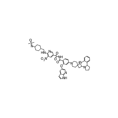 CC(C)c1ccccc1C1CCCN1C1CC2(CCN(c3ccc(C(=O)NS(=O)(=O)c4cnc(NCC5CCC(N=S(C)(C)=O)CC5)c([N+](=O)[O-])c4)c(Oc4cnc5[nH]ccc5c4)c3)CC2)C1